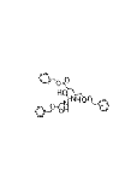 O=C(CC[C@@H](COOCc1ccccc1)NC(O)NCC(=O)OCc1ccccc1)OCc1ccccc1